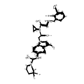 CC(=O)c1cn(CC(=O)N(C(C=O)CNCc2cccc(Cl)c2F)C2CC2)c2ccc(NC(O)N3CCCC(F)(F)C3)cc12